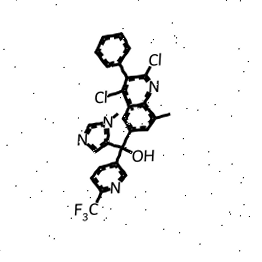 Cc1cc(C(O)(c2ccc(C(F)(F)F)nc2)c2cncn2C)cc2c(Cl)c(-c3ccccc3)c(Cl)nc12